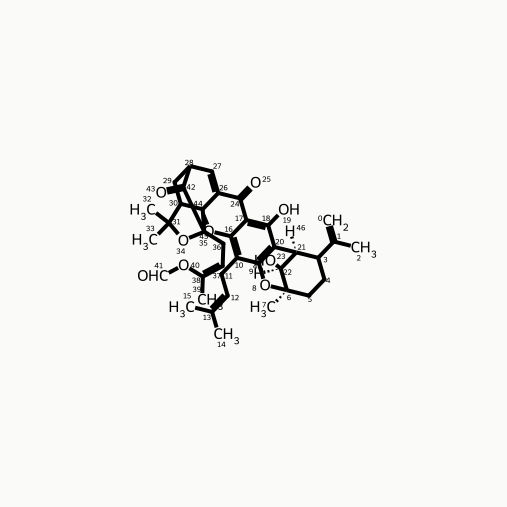 C=C(C)C1CC[C@@]2(C)Oc3c(CC=C(C)C)c4c(c(O)c3[C@@H]1[C@@H]2O)C(=O)C1=CC2CC3C(C)(C)OC(C/C=C(/C)OC=O)(C2=O)[C@@]13O4